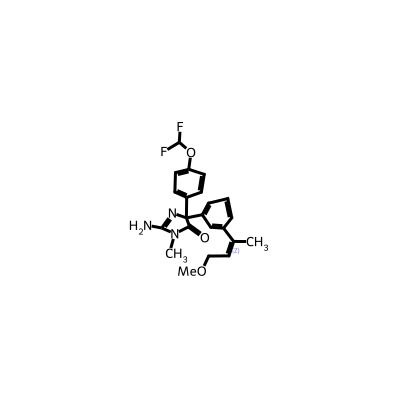 COC/C=C(/C)c1cccc(C2(c3ccc(OC(F)F)cc3)N=C(N)N(C)C2=O)c1